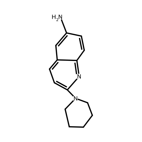 Nc1ccc2nc(N3CCCCC3)ccc2c1